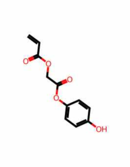 C=CC(=O)OCC(=O)Oc1ccc(O)cc1